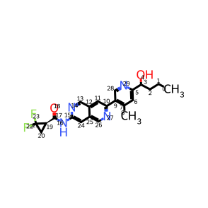 CCCC(O)c1cc(C)c(-c2cc3cnc(NC(=O)[C@H]4CC4(F)F)cc3cn2)cn1